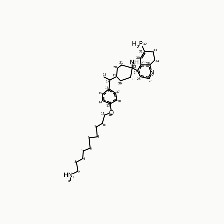 CNCCCCCCCCCCOc1ccc(C(C)C2CCC(N)(c3ccnc4c3C=C(P)CC4)CC2)cc1